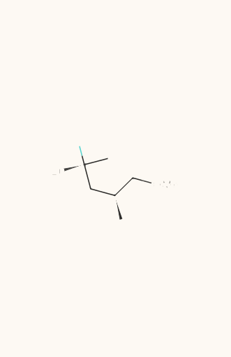 CC[C@](C)(F)C[C@H](C)COC